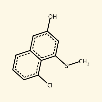 CSc1cc(O)cc2cccc(Cl)c12